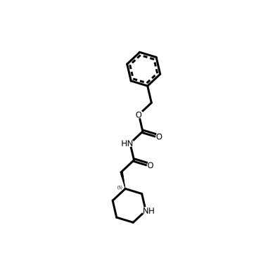 O=C(C[C@@H]1CCCNC1)NC(=O)OCc1ccccc1